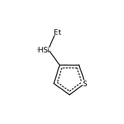 CC[SiH]c1ccsc1